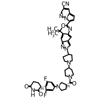 CC1(C)OC(c2ccc3cc(C#N)cnn23)=Nc2cc3cn(C4CCN(C5CCN(C(=O)[C@@H]6CCN(c7cc(F)c([C@H]8CCC(=O)NC8=O)c(F)c7)C6)CC5)CC4)nc3cc21